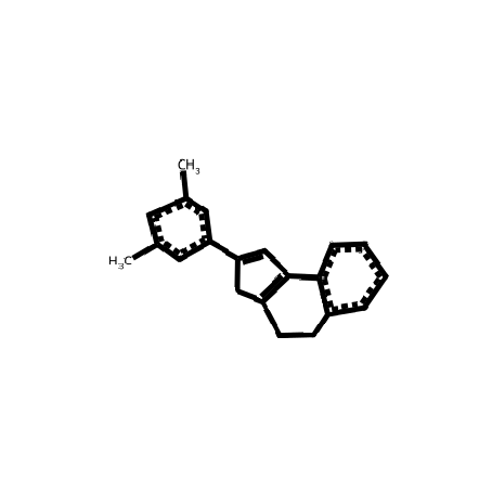 Cc1cc(C)cc(C2=CC3=C(CCc4ccccc43)C2)c1